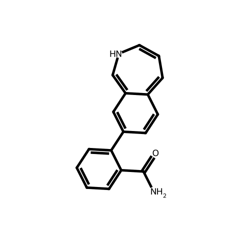 NC(=O)c1ccccc1-c1ccc2c(c1)=CNC=CC=2